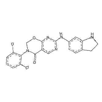 O=C1c2cnc(Nc3ccc4c(c3)NCC4)nc2OCN1c1c(Cl)cccc1Cl